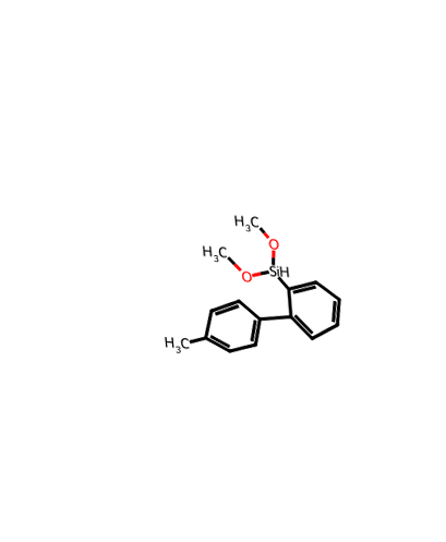 CO[SiH](OC)c1ccccc1-c1ccc(C)cc1